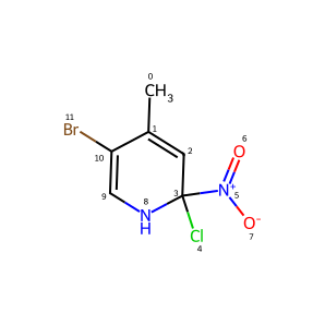 CC1=CC(Cl)([N+](=O)[O-])NC=C1Br